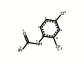 CC(C)C(=O)Nc1ccc(Cl)cc1C(F)(F)F